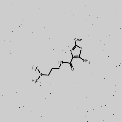 CSc1nc(C(=O)NCCCN(C)C)c(N)s1